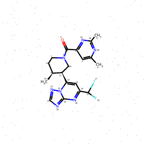 Cc1cc(C(=O)N2CC[C@H](C)[C@H](c3cc(C(F)F)nc4ncnn34)C2)nc(C)n1